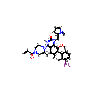 C=CC(=O)N1CCN(c2nc(=O)n(CC3CCCN3C)c3c4c(c(C)cc23)-c2c(ccc(P)c2C)CO4)[C@@H](C)C1